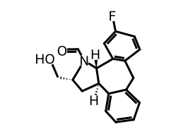 O=CN1[C@@H](CO)C[C@@H]2c3ccccc3Cc3ccc(F)cc3[C@H]21